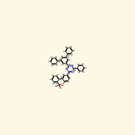 CC1(C)Oc2ccc(-c3nc(-c4ccccc4)nc(-c4cc(-c5ccccc5)cc(-c5ccccc5)c4)n3)cc2-c2ccccc21